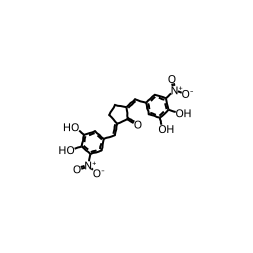 O=C1/C(=C\c2cc(O)c(O)c([N+](=O)[O-])c2)CC/C1=C\c1cc(O)c(O)c([N+](=O)[O-])c1